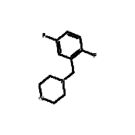 Fc1ccc(F)c(CN2CC[N]CC2)c1